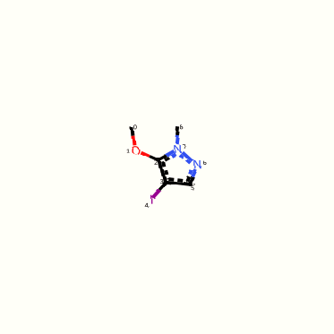 COc1c(I)[c]nn1C